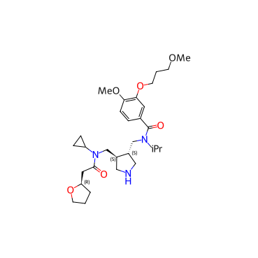 COCCCOc1cc(C(=O)N(C[C@@H]2CNC[C@H]2CN(C(=O)C[C@H]2CCCO2)C2CC2)C(C)C)ccc1OC